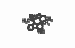 CCC1=CC[C]([Ti]([CH]2C3C=CC=CC3C3CCCCC32)=[Si](C)C)=C1CC.Cl.Cl